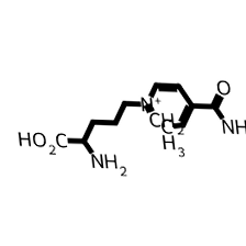 C=[N+](/C=C\C(=C/C)C(N)=O)CCCC(N)C(=O)O